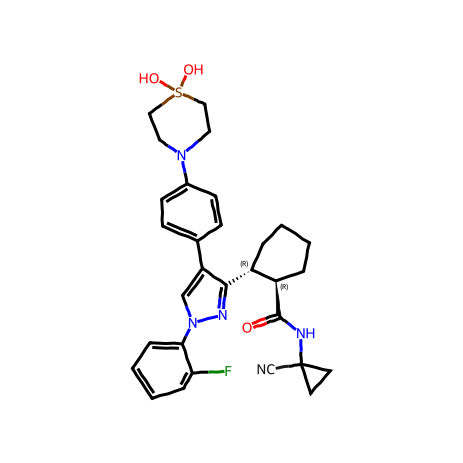 N#CC1(NC(=O)[C@@H]2CCCC[C@H]2c2nn(-c3ccccc3F)cc2-c2ccc(N3CCS(O)(O)CC3)cc2)CC1